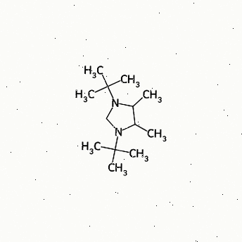 CC1C(C)N(C(C)(C)C)CN1C(C)(C)C